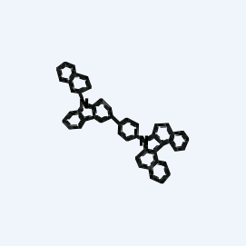 c1ccc2cc(-n3c4ccccc4c4cc(-c5ccc(-n6c7ccc8ccccc8c7c7c8ccccc8ccc76)cc5)ccc43)ccc2c1